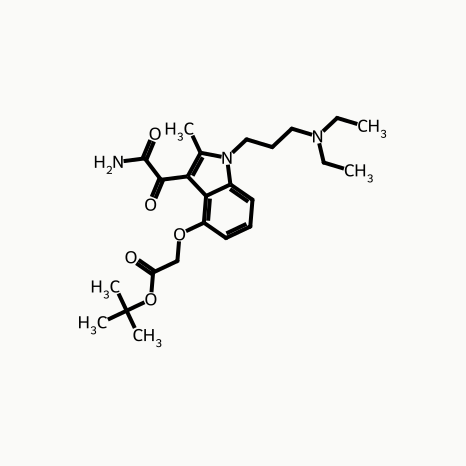 CCN(CC)CCCn1c(C)c(C(=O)C(N)=O)c2c(OCC(=O)OC(C)(C)C)cccc21